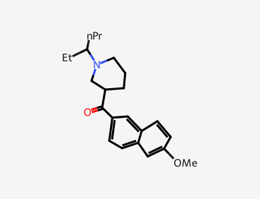 CCCC(CC)N1CCCC(C(=O)c2ccc3cc(OC)ccc3c2)C1